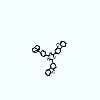 c1ccc2c(c1)oc1cc(-c3nc(-c4ccc(C56CC7CC(CC(C7)C5)C6)cc4)nc(-c4ccc5oc6ccccc6c5c4)n3)ccc12